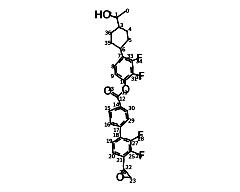 CC(O)C1CCC(c2ccc(OC(=O)c3ccc(-c4ccc(C5CO5)c(F)c4F)cc3)c(F)c2F)CC1